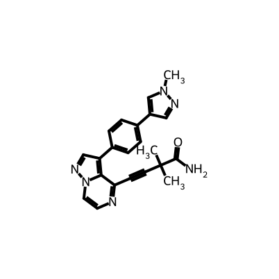 Cn1cc(-c2ccc(-c3cnn4ccnc(C#CC(C)(C)C(N)=O)c34)cc2)cn1